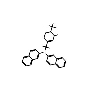 CC1C=C(C(C)(C)N(c2ccc3ccccc3c2)c2ccc3ccccc3c2)CCC1C(C)(C)C